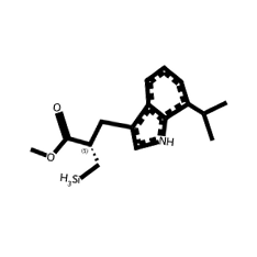 COC(=O)[C@@H](C[SiH3])Cc1c[nH]c2c(C(C)C)cccc12